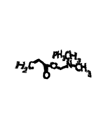 C=CC(=O)OCN(C)C.P